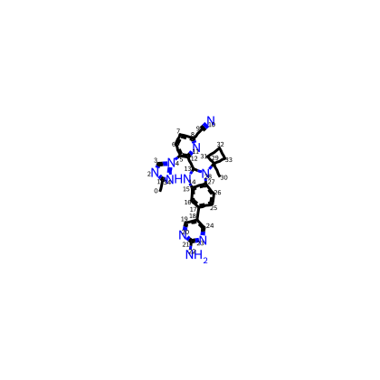 Cc1ncn(-c2ccc(C#N)nc2C2Nc3cc(-c4cnc(N)nc4)ccc3N2C2(C)CCC2)n1